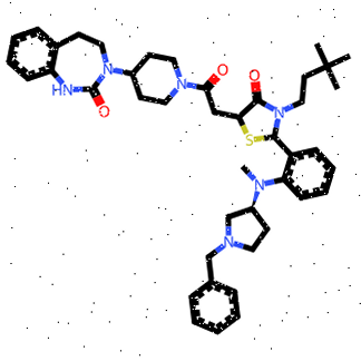 CN(c1ccccc1C1SC(CC(=O)N2CCC(N3CCc4ccccc4NC3=O)CC2)C(=O)N1CCC(C)(C)C)[C@H]1CCN(Cc2ccccc2)C1